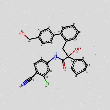 N#Cc1ccc(NC(=O)C(O)(Cc2ccccc2-c2ccc(CO)cc2)c2ccccc2)cc1Cl